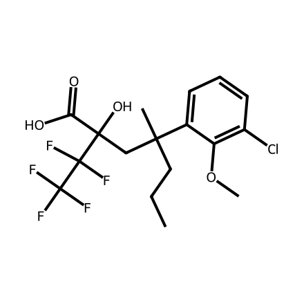 CCCC(C)(CC(O)(C(=O)O)C(F)(F)C(F)(F)F)c1cccc(Cl)c1OC